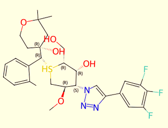 CO[C@H]1C[SH]([C@H](c2ccccc2C)[C@@]2(O)CCOC(C)(C)C2)[C@H](CO)[C@H](O)[C@@H]1n1cc(-c2cc(F)c(F)c(F)c2)nn1